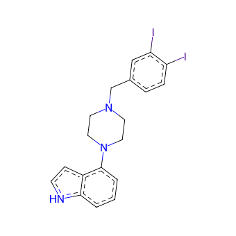 Ic1ccc(CN2CCN(c3cccc4[nH]ccc34)CC2)cc1I